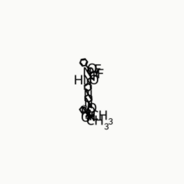 CN(C)S(=O)(=O)N1CCC[C@@H]1C(=O)N1CCN(c2ccc(NC(=O)c3nc(-c4ccccc4)oc3C(F)(F)F)cc2)CC1